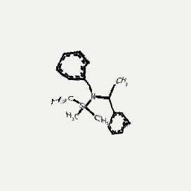 CC(c1ccccc1)N(c1ccccc1)[Si](C)(C)C